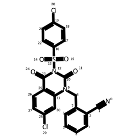 N#Cc1ccccc1Cn1c(=O)n(S(=O)(=O)c2ccc(Cl)cc2)c(=O)c2ccc(Cl)cc21